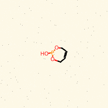 OP1OCC=CCO1